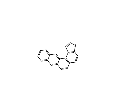 c1ccc2cc3c(ccc4ccc5sccc5c43)cc2c1